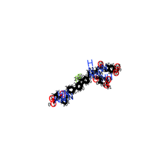 COC(=O)N[C@H](C(=O)N1CCCC1c1nc2cc(-c3ccc4c(c3)C(F)(F)c3cc(-c5c[nH]c([C@@H]6CN(C(=O)N7Cc8cc9c(cc8C7)OCO9)CN6C(=O)[C@@H](NC6OC6OC)C(C)C)n5)ccc3-4)ccc2[nH]1)C(C)C